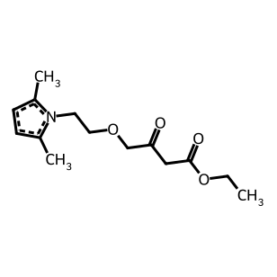 CCOC(=O)CC(=O)COCCn1c(C)ccc1C